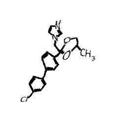 CC1COC(Cn2ccnc2)(c2ccc(-c3ccc(Cl)cc3)cc2)O1